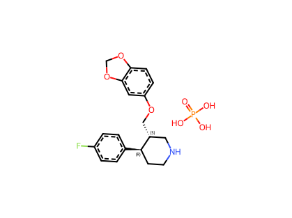 Fc1ccc([C@@H]2CCNC[C@H]2COc2ccc3c(c2)OCO3)cc1.O=P(O)(O)O